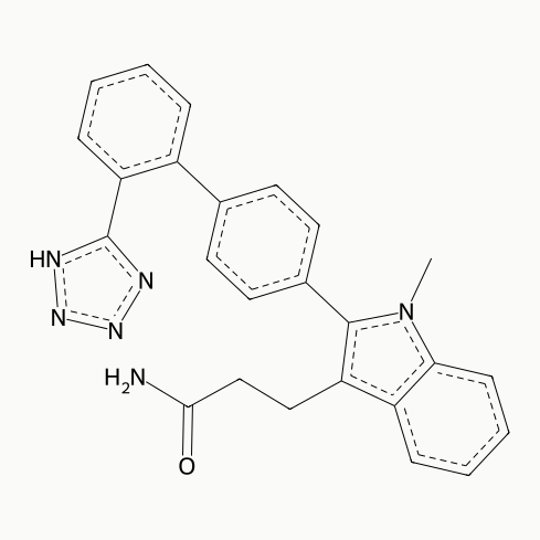 Cn1c(-c2ccc(-c3ccccc3-c3nnn[nH]3)cc2)c(CCC(N)=O)c2ccccc21